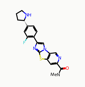 CNC(=O)c1cc2sc3nc(-c4ccc([C@@H]5CCCN5)cc4F)cn3c2cn1